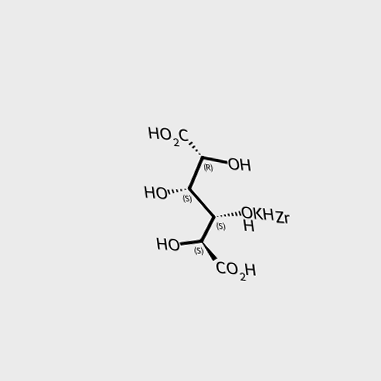 O=C(O)[C@@H](O)[C@@H](O)[C@H](O)[C@@H](O)C(=O)O.[KH].[Zr]